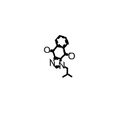 CC(C)Cn1cnc2c1C(=O)c1ccccc1C2=O